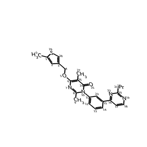 Cc1cc(COc2nc(C)n(-c3cccc(-c4ccnc(C(C)C)n4)c3)c(=O)c2C)cs1